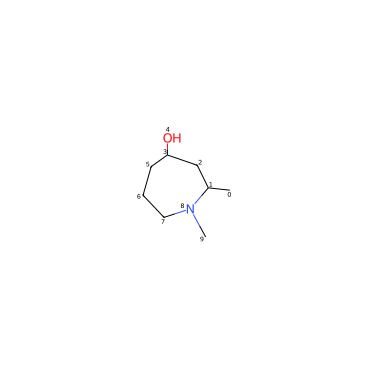 CC1CC(O)CCCN1C